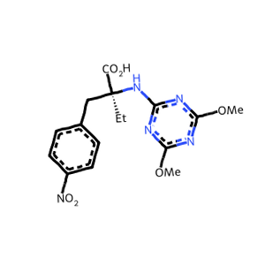 CC[C@@](Cc1ccc([N+](=O)[O-])cc1)(Nc1nc(OC)nc(OC)n1)C(=O)O